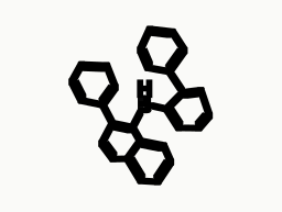 B(c1ccccc1-c1ccccc1)c1c(-c2ccccc2)ccc2ccccc12